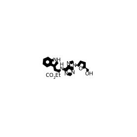 CCOC(=O)[C@H](CC1CNc2ccccc21)Nc1ncnc2c1ncn2[C@H]1CC[C@@H](CO)O1